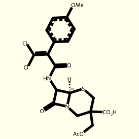 COc1ccc(C(C(=O)NC2C(=O)N3CC(COC(C)=O)(C(=O)O)CS[C@H]23)=C(Cl)Cl)cc1